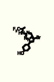 CC(Nc1ncc2c(Br)cc(C3CCC(O)CC3)n2n1)C(F)(F)F